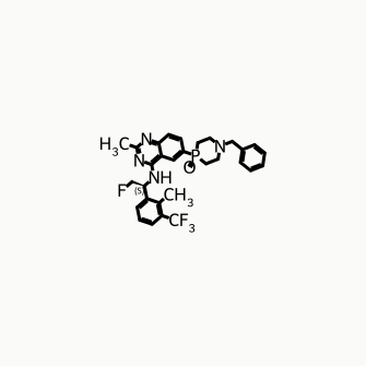 Cc1nc(N[C@H](CF)c2cccc(C(F)(F)F)c2C)c2cc(P3(=O)CCN(Cc4ccccc4)CC3)ccc2n1